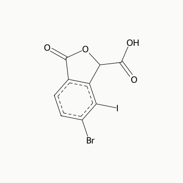 O=C1OC(C(=O)O)c2c1ccc(Br)c2I